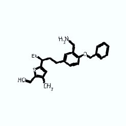 CCC(CCc1ccc(OCc2ccccc2)c(CN)c1)c1cc(C)c(CO)s1